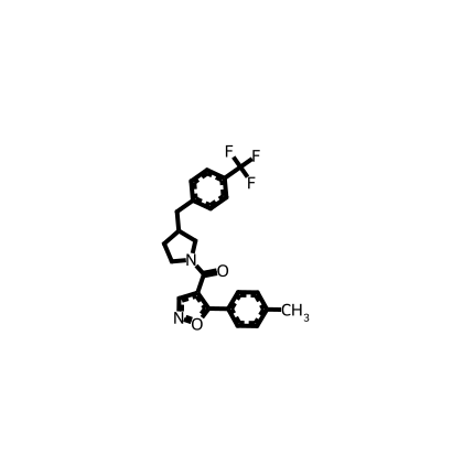 Cc1ccc(-c2oncc2C(=O)N2CCC(Cc3ccc(C(F)(F)F)cc3)C2)cc1